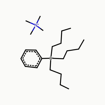 CCCC[B-](CCCC)(CCCC)c1ccccc1.C[N+](C)(C)C